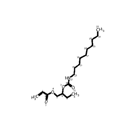 C=CC(=O)OCC(CC)OC(=O)NCCCCCCCCCC